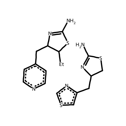 CCC1SC(N)=NC1Cc1ccncc1.NC1=NC(Cc2cscn2)CS1